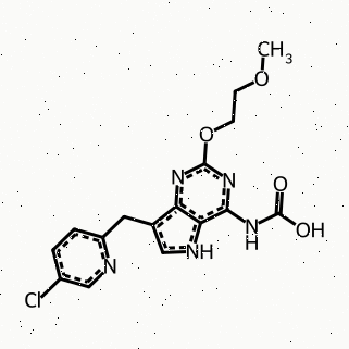 COCCOc1nc(NC(=O)O)c2[nH]cc(Cc3ccc(Cl)cn3)c2n1